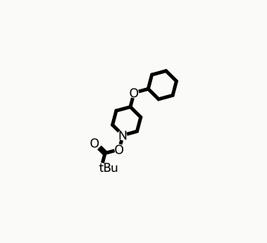 CC(C)(C)C(=O)ON1CCC(OC2CCCCC2)CC1